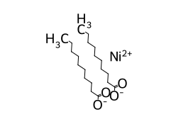 CCCCCCCCCC(=O)[O-].CCCCCCCCCC(=O)[O-].[Ni+2]